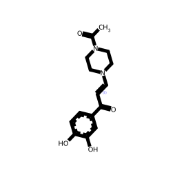 CC(=O)N1CCN(/C=C/C(=O)c2ccc(O)c(O)c2)CC1